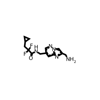 NCc1cn2ncc(CNC(=O)C(F)(F)CC3CC3)cc2n1